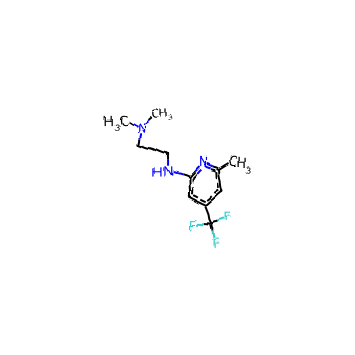 Cc1cc(C(F)(F)F)cc(NCCN(C)C)n1